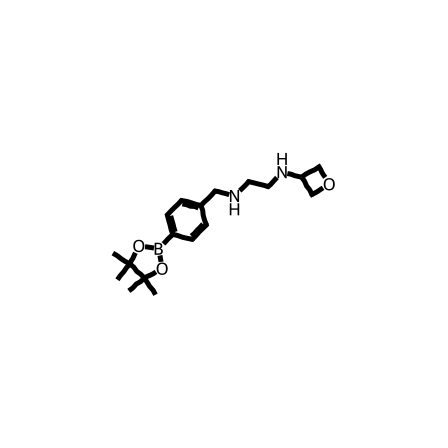 CC1(C)OB(c2ccc(CNCCNC3COC3)cc2)OC1(C)C